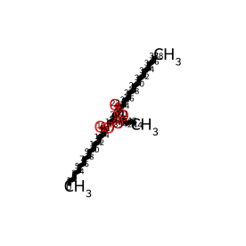 CCCCCCCCCCCCCCCC(=O)OCC(COC(=O)CCCCCCCCCCCCCCC)OC(=O)CCC